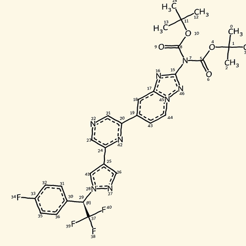 CC(C)(C)OC(=O)N(C(=O)OC(C)(C)C)c1nc2cc(-c3cncc(-c4cnn([C@H](c5ccc(F)cc5)C(F)(F)F)c4)n3)ccn2n1